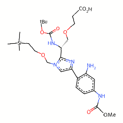 COC(=O)Nc1ccc(-c2cn(COCC[Si](C)(C)C)c([C@@H](COCCC(=O)O)NC(=O)OC(C)(C)C)n2)c(N)c1